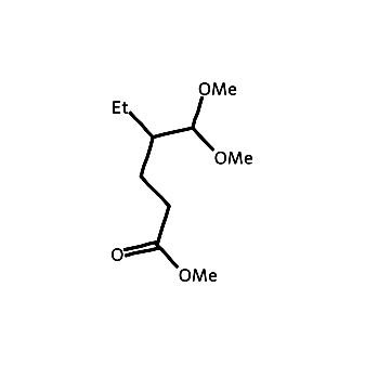 CCC(CCC(=O)OC)C(OC)OC